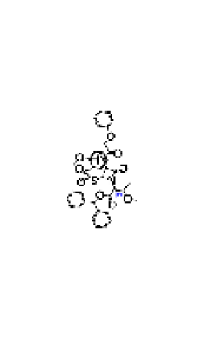 CO/C(C)=C(\C(=O)OC(c1ccccc1)c1ccccc1)N1C(=O)C(NC(=O)COc2ccccc2)C1SS(=O)(=O)c1ccccc1OC